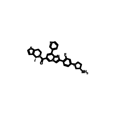 C[C@@H]1c2ccsc2CCN1C(=O)c1cc(-c2cccnc2)c2nc(-c3ccc(N4CC[C@@H]([SiH3])C4)cc3F)cn2c1